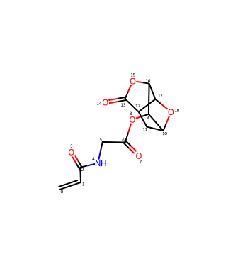 C=CC(=O)NCC(=O)OC1C2CC3C(=O)OC1C3O2